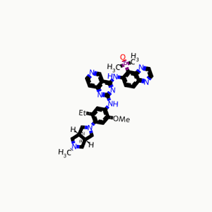 CCc1cc(Nc2nc(Nc3ccc4nccnc4c3P(C)(C)=O)c3cnccc3n2)c(OC)cc1N1C[C@H]2CN(C)C[C@H]2C1